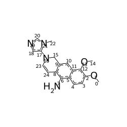 COc1ccc2c(N)c3c(cc2c1OC)CN(c1cncn1C)C=C3